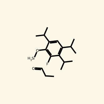 CC(C)c1cc(C(C)C)c(C(C)C)c(F)c1O[SiH3].CCC=O